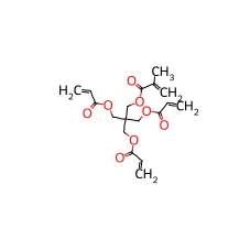 C=CC(=O)OCC(COC(=O)C=C)(COC(=O)C=C)COC(=O)C(=C)C